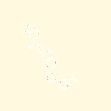 Cc1ccc(C(=O)NCc2cc3nc(-c4cccc(N5CCN[C@@H](C(C)C)C5)n4)ccc3cn2)cc1S(C)(=O)=O